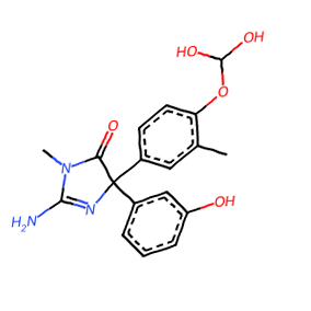 Cc1cc(C2(c3cccc(O)c3)N=C(N)N(C)C2=O)ccc1OC(O)O